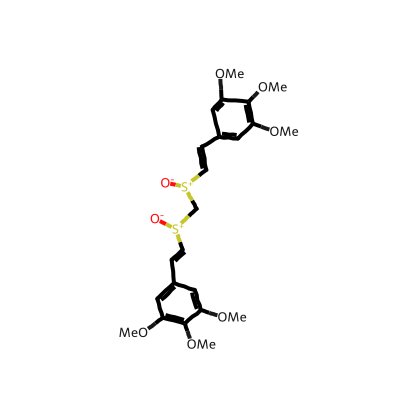 COc1cc(/C=C/[S+]([O-])C[S+]([O-])/C=C/c2cc(OC)c(OC)c(OC)c2)cc(OC)c1OC